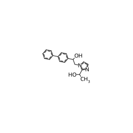 CC(O)c1nccn1CC(O)c1ccc(-c2ccccc2)cc1